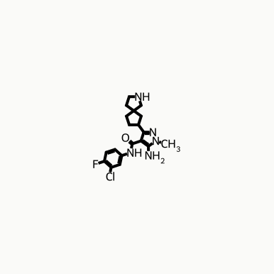 Cn1nc(C2CCC3(CCNC3)C2)c(C(=O)Nc2ccc(F)c(Cl)c2)c1N